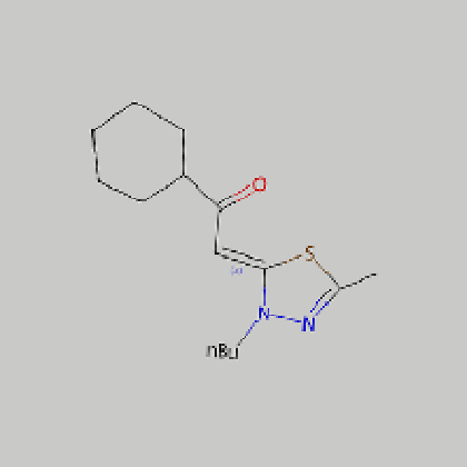 CCCCN1N=C(C)S/C1=C\C(=O)C1CCCCC1